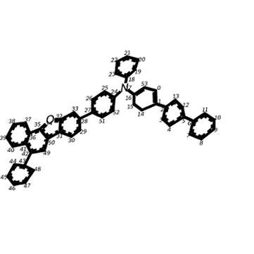 C1=C(c2ccc(-c3ccccc3)cc2)CCC(N(c2ccccc2)c2ccc(-c3ccc4c(c3)oc3c5ccccc5c(-c5ccccc5)cc43)cc2)=C1